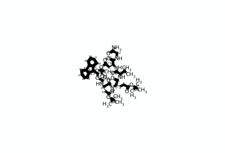 CC(C)[C@H](NC(=O)[C@H](CCC(=O)OC(C)(C)C)NC(=O)[C@H](CC(=O)OC(C)(C)C)NC(=O)OCC1c2ccccc2-c2ccccc21)C(=O)N[C@@H](CC(=O)OC(C)(C)C)C(=O)NCC(N)=O